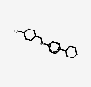 NC1CCC(CNc2ccc(C3CCCCC3)cc2)CC1